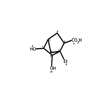 CCC12CC(CC1C(=O)O)C(O)C2O